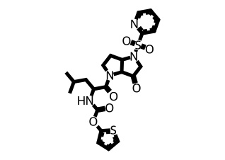 CC(C)CC(NC(=O)Oc1cccs1)C(=O)N1CCC2C1C(=O)CN2S(=O)(=O)c1ccccn1